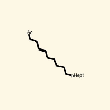 CCCCCCCCCCCCC=CCCC(C)=O